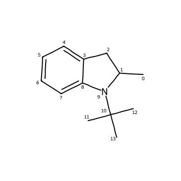 CC1Cc2ccccc2N1C(C)(C)C